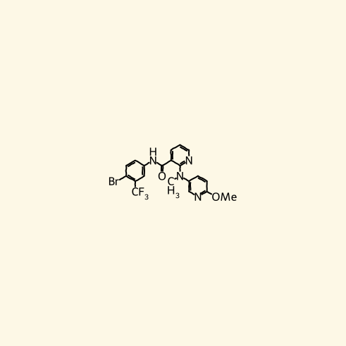 COc1ccc(N(C)c2ncccc2C(=O)Nc2ccc(Br)c(C(F)(F)F)c2)cn1